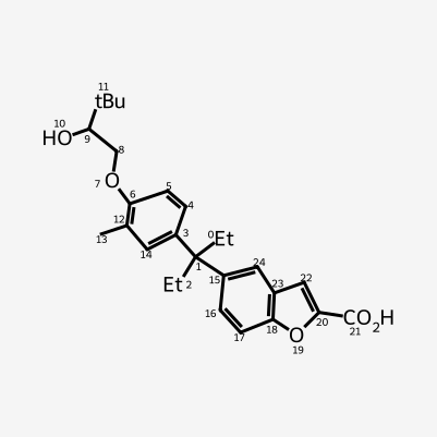 CCC(CC)(c1ccc(OCC(O)C(C)(C)C)c(C)c1)c1ccc2oc(C(=O)O)cc2c1